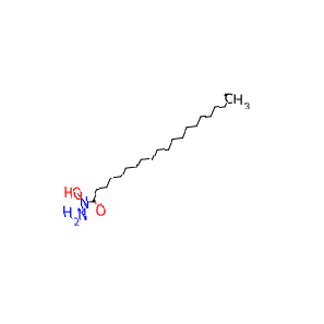 CCCCCCCCCCCCCCCCCCCC(=O)N(N)O